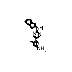 Cc1cc(N)nn1-c1cnc(NC2Cc3ccccc3C2)nc1